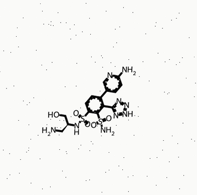 NC[C@@H](CO)NS(=O)(=O)c1ccc(-c2ccc(N)nc2)c(-c2nn[nH]n2)c1S(N)(=O)=O